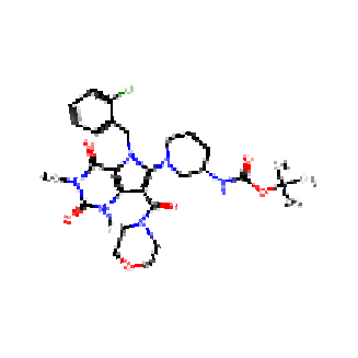 Cn1c(=O)c2c(c(C(=O)N3CCOCC3)c(N3CCC[C@@H](NC(=O)OC(C)(C)C)C3)n2Cc2ccccc2Cl)n(C)c1=O